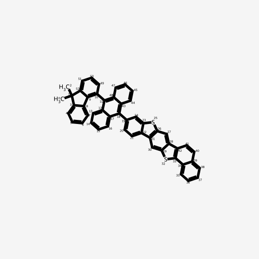 CC1(C)c2ccccc2-c2c(-c3c4ccccc4c(-c4ccc5c(c4)sc4cc6c(cc45)sc4c5ccccc5ccc64)c4ccccc34)cccc21